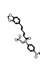 O=C(C=CC=Cc1ccc2c(c1)OCO2)N(N=S(=O)=O)c1ccc([N+](=O)[O-])cc1